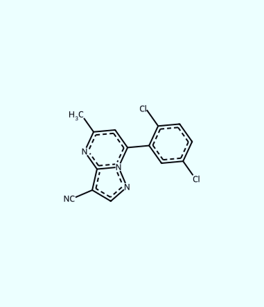 Cc1cc(-c2cc(Cl)ccc2Cl)n2ncc(C#N)c2n1